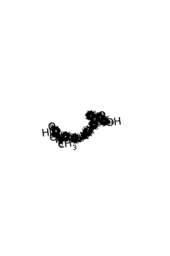 Cc1nn(C2CCC(=O)NC2=O)c2ccc(N3CCN(CC4CC5(CCN(c6ccc([C@H]7c8ccc(O)cc8OC[C@H]7c7ccccc7)cc6)CC5)C4)CC3)cc12